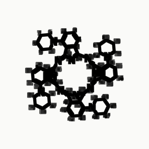 c1cc2c(c(N3CCCCC3)c1)-c1nc-2nc2[nH]c(nc3nc(nc4[nH]c(n1)c1cccc(N5CCCCC5)c41)-c1cccc(N4CCCCC4)c1-3)c1cccc(N3CCCCC3)c21